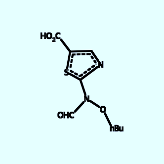 CCCCON(C=O)c1ncc(C(=O)O)s1